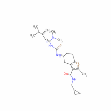 C=C(/C=C(/NC(=S)/N=C1\CCc2sc(C)c(C(=O)NCC3CC3)c2C1)N(C)C)C(C)C